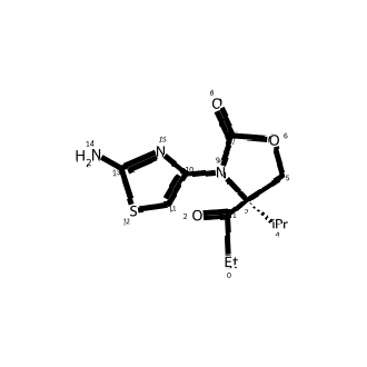 CCC(=O)[C@]1(C(C)C)COC(=O)N1c1csc(N)n1